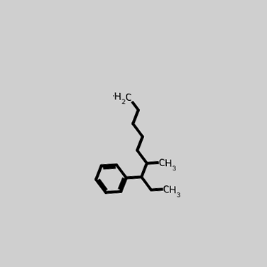 [CH2]CCCCC(C)C(CC)c1ccccc1